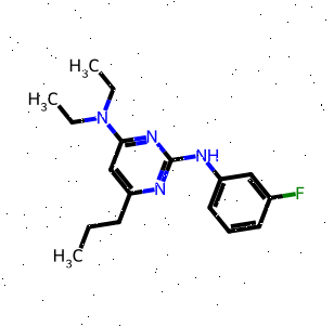 CCCc1cc(N(CC)CC)nc(Nc2cccc(F)c2)n1